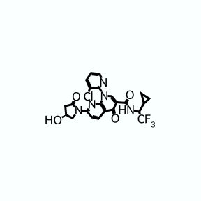 O=C(NC(C1CC1)C(F)(F)F)c1cn(-c2ncccc2Cl)c2nc(N3C[C@@H](O)CC3=O)ccc2c1=O